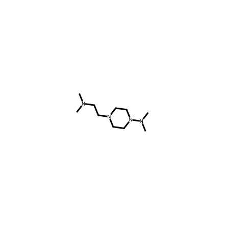 CN(C)CCN1CCN(N(C)C)CC1